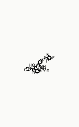 COc1ccc2ncc(CN3CCOCC3)c([C@H](O)CCC3(C(=O)NO)CCN(CCSc4c(F)cc(F)cc4F)CC3)c2c1